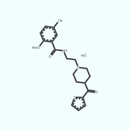 COc1ccc(C#N)cc1C(=O)NCCN1CCC(C(=O)c2cccs2)CC1.Cl